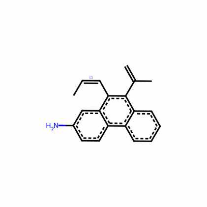 C=C(C)c1c(/C=C\C)c2cc(N)ccc2c2ccccc12